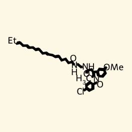 CCC=CCC=CCC=CCC=CCC=CCCCC(=O)NCCNC(=O)Cc1c(C)n(C(=O)c2ccc(Cl)cc2)c2ccc(OC)cc12